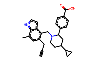 C#CCc1cc(C)c2[nH]ccc2c1CN1CCC(C2CC2)CC1c1ccc(C(=O)O)cc1